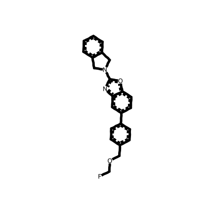 FCOCc1ccc(-c2ccc3oc(N4Cc5ccccc5C4)nc3c2)cc1